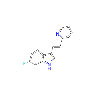 Fc1ccc2c(C=Cc3ccccn3)c[nH]c2c1